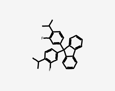 CC(C)c1ccc(C2(c3ccc(C(C)C)c(F)c3)c3ccccc3-c3ccccc32)cc1F